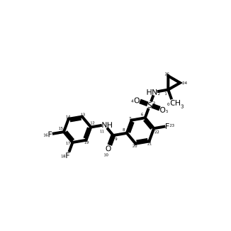 CC1(NS(=O)(=O)c2cc(C(=O)Nc3ccc(F)c(F)c3)ccc2F)CC1